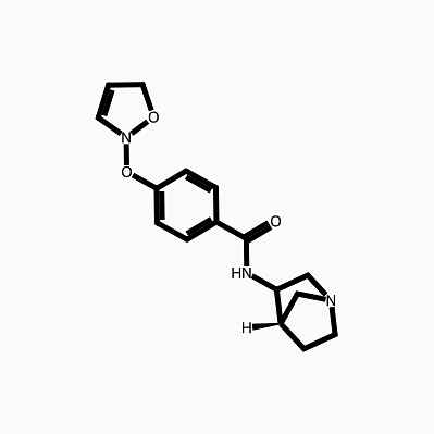 O=C(NC1CN2CC[C@H]1C2)c1ccc(ON2C=CCO2)cc1